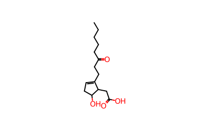 CCCCCC(=O)CCC1=CCC(O)C1CC(=O)O